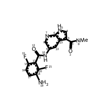 CNC(=O)c1c[nH]c2ncc(NC(=O)c3c(F)ccc(N)c3F)cc12